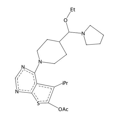 CCOC(C1CCN(c2ncnc3sc(OC(C)=O)c(C(C)C)c23)CC1)N1CCCC1